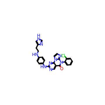 O=c1c2cnc(Nc3ccc(NCCc4c[nH]cn4)cc3)nc2n2ccnc2n1-c1ccccc1Cl